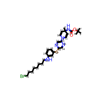 CC1(NC(=O)OC(C)(C)C)C=CN(c2cnc(Sc3cccc(NCCCCCCCCBr)c3)cn2)C=C1